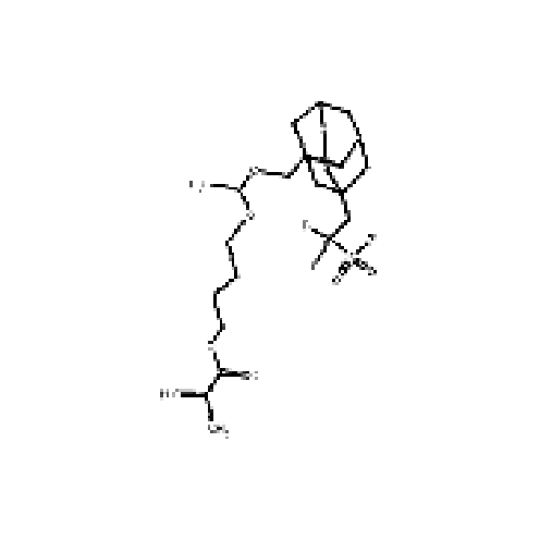 C=C(C)C(=O)OCCCCOC(C)OCC12CC3CC(C1)CC(CC(F)(F)S(=O)(=O)F)(C3)C2